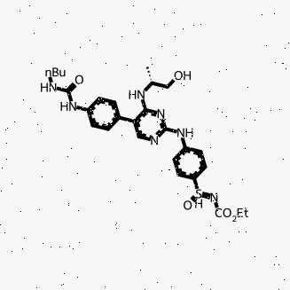 CCCCNC(=O)Nc1ccc(-c2cnc(Nc3ccc(/[SH](=O)=N/C(=O)OCC)cc3)nc2N[C@H](C)CO)cc1